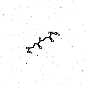 CNCCC(=O)NCCC(=O)NC